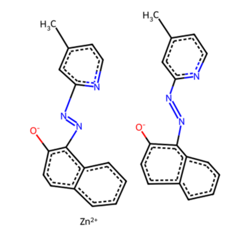 Cc1ccnc(N=Nc2c([O-])ccc3ccccc23)c1.Cc1ccnc(N=Nc2c([O-])ccc3ccccc23)c1.[Zn+2]